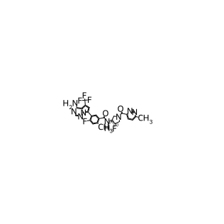 Cc1ccc(C(=O)N2C[C@H](F)[C@H](NC(=O)c3cc(-c4cc(C(F)(F)F)c5c(N)ncnn45)c(F)cc3C)C2)nn1